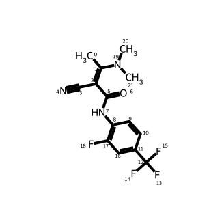 C/C(=C(\C#N)C(=O)Nc1ccc(C(F)(F)F)cc1F)N(C)C